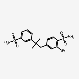 CC(C)c1cc(CC(C)(C)c2cccc(S(N)(=O)=O)c2)ccc1S(N)(=O)=O